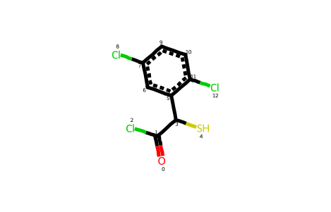 O=C(Cl)C(S)c1cc(Cl)ccc1Cl